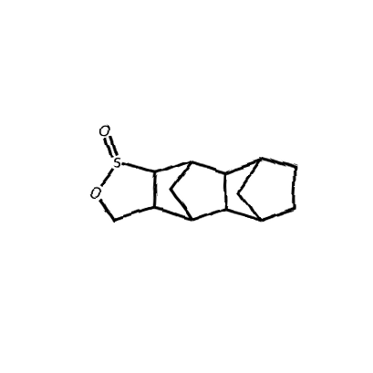 O=S1OCC2C3CC(C4C5CCC(C5)C34)C21